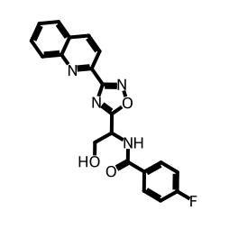 O=C(NC(CO)c1nc(-c2ccc3ccccc3n2)no1)c1ccc(F)cc1